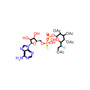 CC(=O)OC[C@H](F)C1O[C@@H](OP(=O)(O)OP(O)(=S)OC[C@H]2O[C@@H](n3cnc4c(N)ncnc43)[C@@H](O)[C@H]2O)C(OC(C)=O)C(OC(C)=O)[C@@H]1OC(C)=O